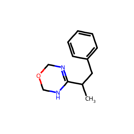 CC(Cc1ccccc1)C1=NCOCN1